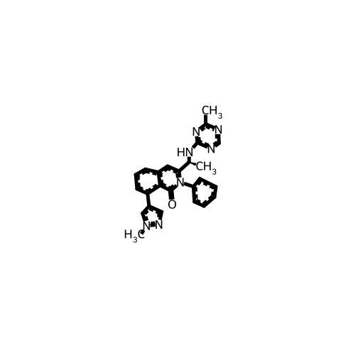 Cc1ncnc(N[C@@H](C)c2cc3cccc(-c4cnn(C)c4)c3c(=O)n2-c2ccccc2)n1